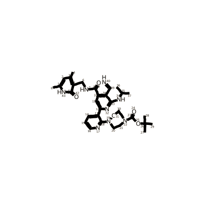 Cc1cc(C)c(CNC(=O)c2cc(-c3cccnc3N3CCN(C(=O)OC(C)(C)C)CC3)nc(NC(C)C)c2C=N)c(=O)[nH]1